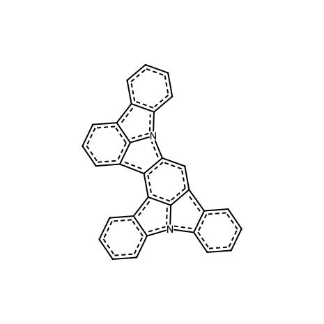 c1ccc2c(c1)c1cccc3c4c5c6ccccc6n6c7ccccc7c(cc4n2c13)c56